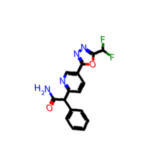 NC(=O)C(c1ccccc1)c1ccc(-c2nnc(C(F)F)o2)cn1